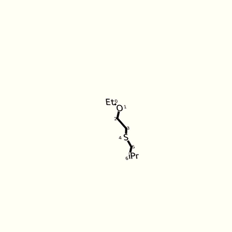 CCOCCSCC(C)C